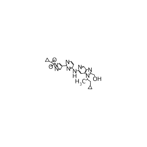 CC(CC1CC1)n1c(CO)nc2cnc(Nc3ccnc(-c4cnn(S(=O)(=O)C5CC5)c4)n3)cc21